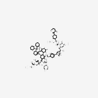 Cc1c(F)cc2nn(C(c3ccccc3)(c3ccccc3)c3ccccc3)cc2c1-c1c(C2CC2)cc2c(N3C[C@@H]4C[C@H]3CN4C(=O)OC(C)(C)C)nc(OC3CCOCC3)nc2c1OCc1ccc(-c2cn([C@H](C(=O)N3C[C@H](O)C[C@H]3C(=O)N[C@@H](CO)c3ccc(-c4ncccc4F)cc3)C(C)C)nn2)cc1